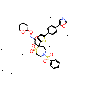 O=C(CC1(c2ccc(-c3ccc(-c4cnco4)cc3)s2)CCN(S(=O)(=O)c2ccccc2)CCS1(=O)=O)NOC1CCCCO1